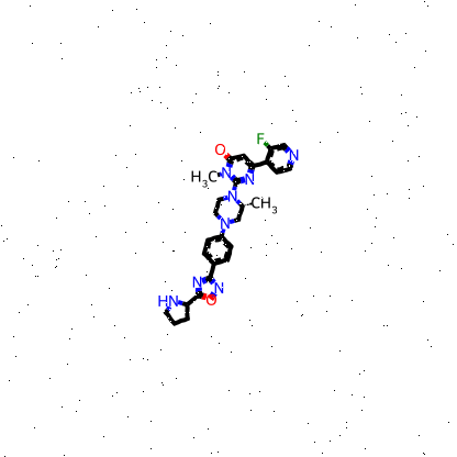 C[C@@H]1CN(c2ccc(-c3noc(C4CCCN4)n3)cc2)CCN1c1nc(-c2ccncc2F)cc(=O)n1C